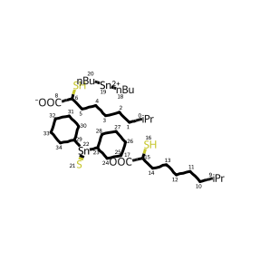 CC(C)CCCCCC(S)C(=O)[O-].CC(C)CCCCCC(S)C(=O)[O-].CCC[CH2][Sn+2][CH2]CCC.[S]=[Sn]([CH]1CCCCC1)[CH]1CCCCC1